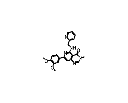 COc1ccc(-c2cc3ncn(C)c(=O)c3c(NCc3ccccn3)n2)cc1OC